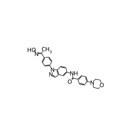 C/C(=N\O)c1ccc(-n2ncc3cc(NC(=O)c4ccc(N5CCOCC5)cc4)ccc32)cc1